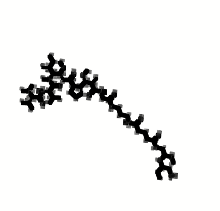 CCC(CO)OC(COC(=O)CCCC(=O)NCCCOC(=O)CNC(=O)[C@H](C)[C@@H](OC)[C@@H]1CCCC1C(=O)C[C@@H](OC)[C@H]([C@@H](C)CC)N(C)C(=O)[C@@H](NC(=O)[C@H](C(C)C)N(C)C)C(C)C)OC